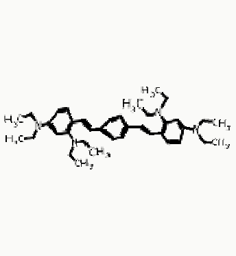 CCN(CC)c1ccc(C=Cc2ccc(C=Cc3ccc(N(CC)CC)cc3N(CC)CC)cc2)c(N(CC)CC)c1